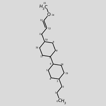 CCCC1CCC(C2CCC(CC=COC)CC2)CC1